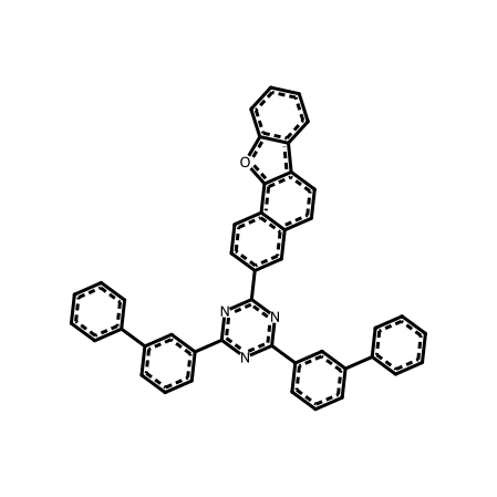 c1ccc(-c2cccc(-c3nc(-c4cccc(-c5ccccc5)c4)nc(-c4ccc5c(ccc6c7ccccc7oc56)c4)n3)c2)cc1